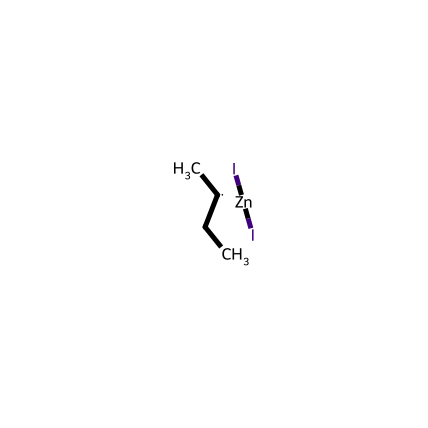 C[CH]CC.[I][Zn][I]